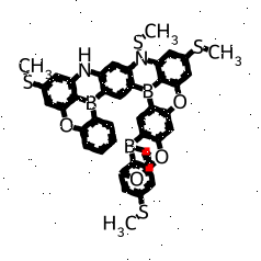 CSc1cc2c3c(c1)Oc1ccccc1B3c1cc3c(cc1N2)N(SC)c1cc(SC)cc2c1B3c1cc3c(cc1O2)Oc1cc(SC)cc2c1B3c1ccccc1O2